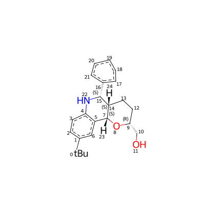 CC(C)(C)c1ccc2c(c1)[C@H]1O[C@@H](CO)CC[C@H]1[C@@H](c1ccccc1)N2